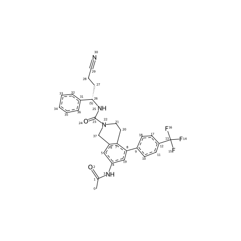 CC(=O)Nc1cc2c(c(-c3ccc(C(F)(F)F)cc3)c1)CCN(C(=O)N[C@@H](CCC#N)c1ccccc1)C2